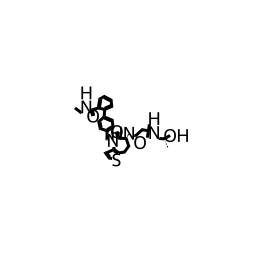 CCNC(=O)c1ccccc1-c1ccc(CN2C(=O)[C@H](NC(=O)CC(C)(C)NC[C@@H](C)O)CCc3sccc32)cc1